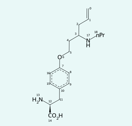 C=CCC(CCOc1ccc(C[C@H](N)C(=O)O)cc1)NCCC